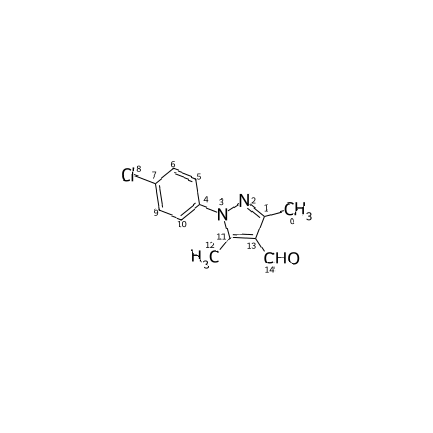 Cc1nn(-c2ccc(Cl)cc2)c(C)c1C=O